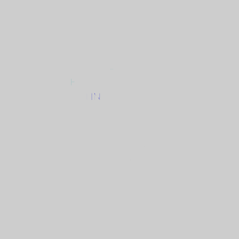 FC(F)(F)Nc1cccc(-c2ccccc2)c1